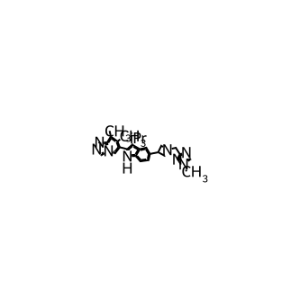 Cc1c(-c2[nH]c3ccc(C4CN(Cc5ncn(C)n5)C4)cc3c2C(C)C)cn2cnnc2c1C